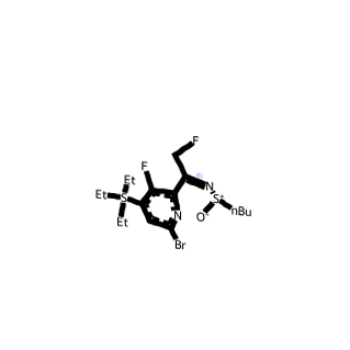 CCCC[S+]([O-])/N=C(/CF)c1nc(Br)cc(S(CC)(CC)CC)c1F